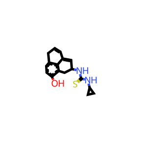 Oc1ccc2c3c1CC(NC(=S)NC1CC1)C=C3C=CC2